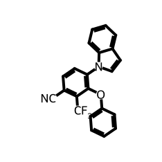 N#Cc1ccc(-n2ccc3ccccc32)c(Oc2ccccc2)c1C(F)(F)F